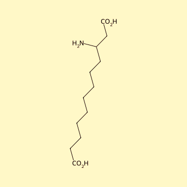 NC(CCCCCCCCC(=O)O)CC(=O)O